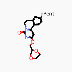 CCCCCc1ccc2c(c1)CCn1c-2cc(OCC2COCCO2)nc1=O